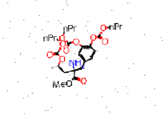 CCCOC(=O)Oc1ccc(CC(N)(C[C@H](C)OC(=O)OCCC)C(=O)OC)cc1OC(=O)OCCC